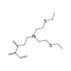 C=CC(=C)C(=C)CCN(CCSCC)CCSCC